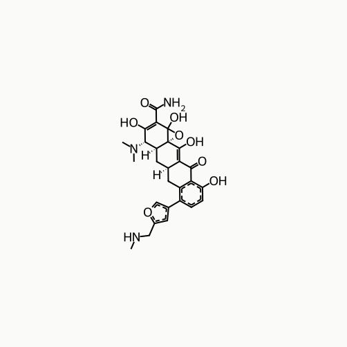 CNCc1cc(-c2ccc(O)c3c2C[C@H]2C[C@H]4[C@H](N(C)C)C(O)=C(C(N)=O)C5(O)O[C@]45C(O)=C2C3=O)co1